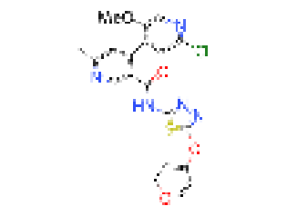 COc1cnc(Cl)cc1-c1cc(C)ncc1C(=O)Nc1nnc(OC2=CCOC=C2)s1